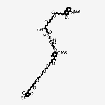 CCCC(CCC(=O)CCCCOC(=O)CCCCc1cc2c(cc1CC)C(NC)CCC2)CCC(=O)NCCNOC(=O)CCCOc1cc(C)c(C(C)CC(=O)CCOCCOCCOCCOCCCC(=O)CCCC2C(=O)CC(CC)C2=O)cc1OC